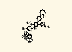 COc1cc(N2CCC(N3CCCCOC3=O)CC2)c(-c2cnn(C)c2)cc1Nc1ncc(Br)c(Nc2ccc3nccnc3c2P(C)(C)=O)n1